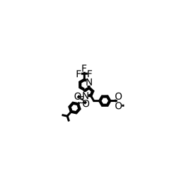 COC(=O)c1ccc(Cc2cc3nc(C(F)(F)F)ccc3n2S(=O)(=O)c2ccc(C(C)C)cc2)cc1